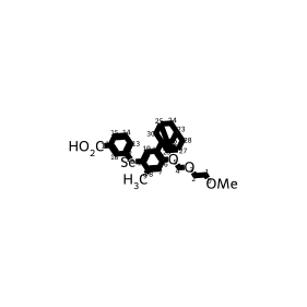 COCCOCOc1cc(C)c([Se]c2cccc(C(=O)O)c2)cc1C12CC3CC(CC(C3)C1)C2